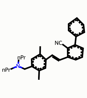 CCCN(CCC)Cc1cc(C)c(/C=C/c2cccc(-c3ccccc3)c2C#N)cc1C